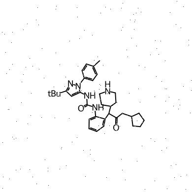 Cc1ccc(-n2nc(C(C)(C)C)cc2NC(=O)Nc2ccccc2C(C(=O)CC2CCCC2)C2CCNCC2)cc1